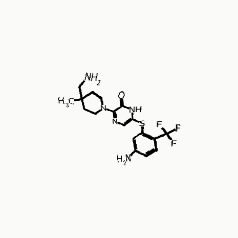 CC1(CN)CCN(c2ncc(Sc3cc(N)ccc3C(F)(F)F)[nH]c2=O)CC1